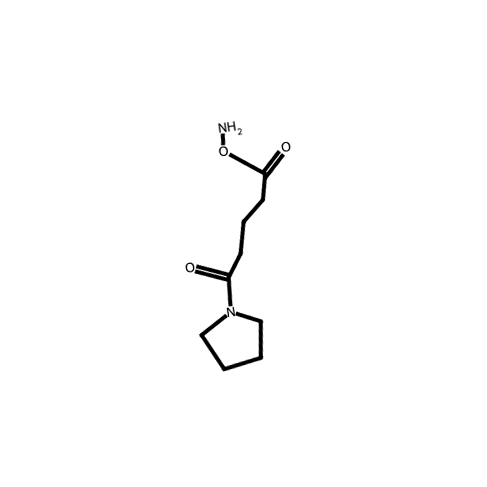 NOC(=O)CCCC(=O)N1CCCC1